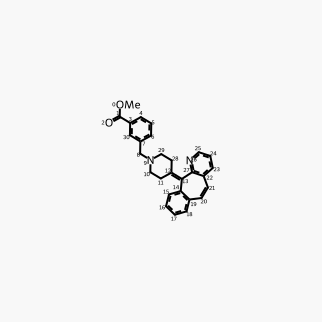 COC(=O)c1cccc(CN2CCC(=C3c4ccccc4C=Cc4cccnc43)CC2)c1